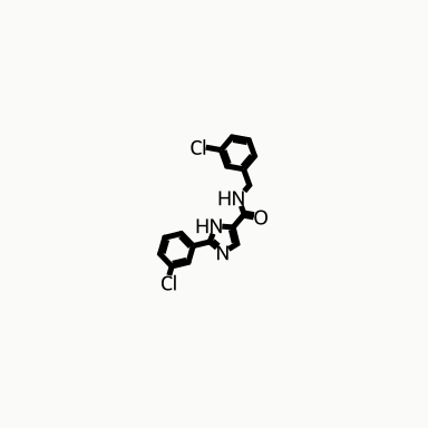 O=C(NCc1cccc(Cl)c1)c1cnc(-c2cccc(Cl)c2)[nH]1